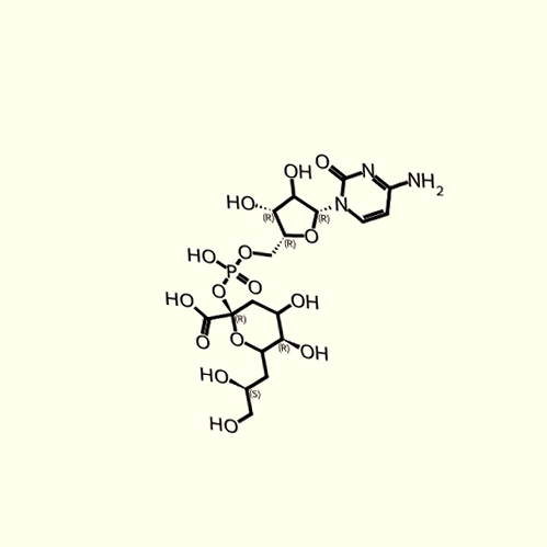 Nc1ccn([C@@H]2O[C@H](COP(=O)(O)O[C@@]3(C(=O)O)CC(O)[C@@H](O)C(C[C@H](O)CO)O3)[C@H](O)C2O)c(=O)n1